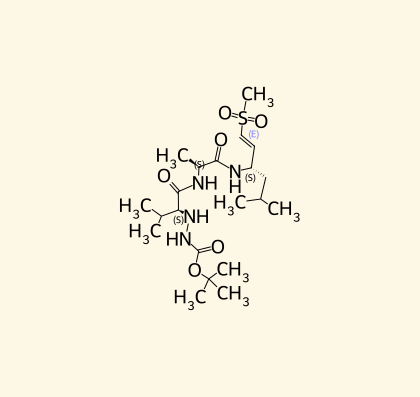 CC(C)C[C@@H](/C=C/S(C)(=O)=O)NC(=O)[C@H](C)NC(=O)[C@@H](NNC(=O)OC(C)(C)C)C(C)C